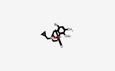 CC(=O)Oc1c(C)cc(Br)c2c1[C@@]13CCN(CC4CC4)C(C2)C1CCC(=O)C3